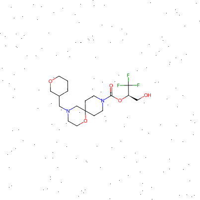 O=C(O[C@H](CO)C(F)(F)F)N1CCC2(CC1)CN(CC1CCCOC1)CCO2